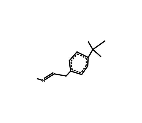 C/N=C/Cc1ccc(C(C)(C)C)cc1